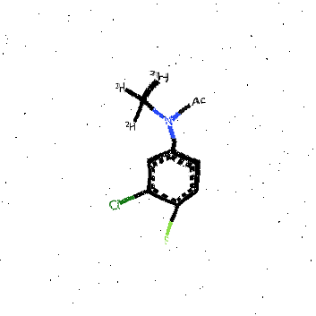 [2H]C([2H])([2H])N(C(C)=O)c1ccc(F)c(Cl)c1